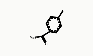 [CH2]SC(=O)c1ccc(C)cc1